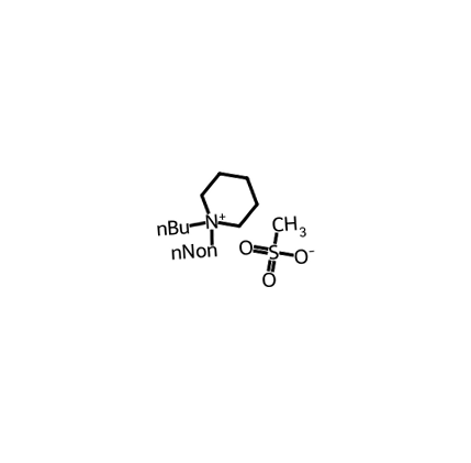 CCCCCCCCC[N+]1(CCCC)CCCCC1.CS(=O)(=O)[O-]